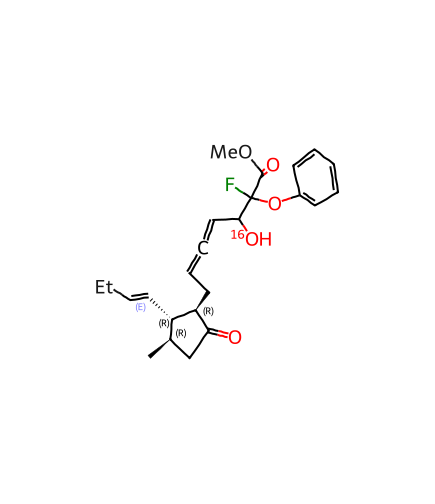 CC/C=C/[C@H]1[C@H](C)CC(=O)[C@@H]1CC=C=CC([16OH])C(F)(Oc1ccccc1)C(=O)OC